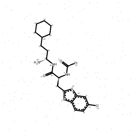 CCC(=O)N[C@@H](Cc1nc2ccc(Cl)cc2s1)C(=O)N[C@H](N)CCC1CCCCC1